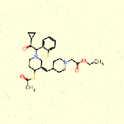 CCOC(=O)CN1CCC(/C=C2\CN(C(C(=O)C3CC3)c3ccccc3F)CCC2SC(C)=O)CC1